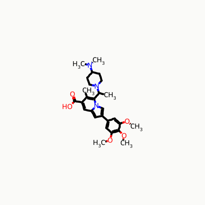 COc1cc(-c2cc3cc(C(=O)O)c(C)c(C(C)N4CCC(N(C)C)CC4)n3c2)cc(OC)c1OC